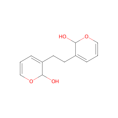 OC1OC=CC=C1CCC1=CC=COC1O